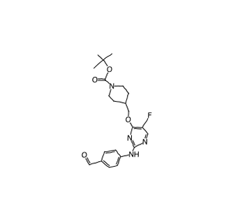 CC(C)(C)OC(=O)N1CCC(COc2nc(Nc3ccc(C=O)cc3)ncc2F)CC1